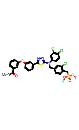 COC(=O)c1cccc(Oc2cccc(-c3nnc(N(Cc4ccc(CP(=O)(OF)OF)c(Cl)c4)c4ccc(Cl)c(Cl)c4)s3)c2)c1